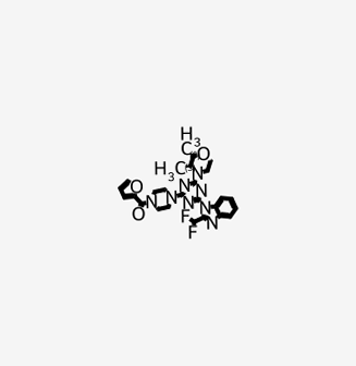 C[C@@H]1OCCN(c2nc(N3CCN(C(=O)c4ccco4)CC3)nc(-n3c(C(F)F)nc4ccccc43)n2)[C@H]1C